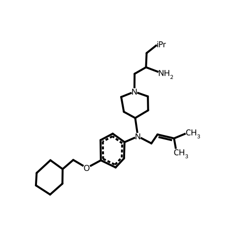 CC(C)=CCN(c1ccc(OCC2CCCCC2)cc1)C1CCN(CC(N)CC(C)C)CC1